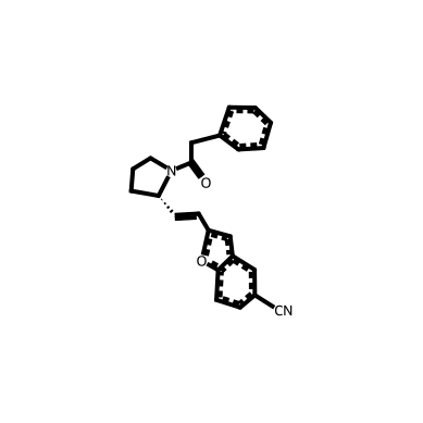 N#Cc1ccc2oc(/C=C/[C@@H]3CCCN3C(=O)Cc3ccccc3)cc2c1